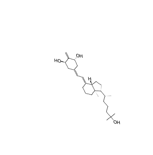 C=C1[C@H](O)CC(=C/C=C2\CCC[C@]3(C)[C@@H]([C@H](C)CCCC(C)(C)O)CC[C@@H]23)C[C@H]1O